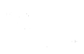 Cc1ccc(Oc2ccc(C(=O)Cn3cccc(C)c3=O)cc2)cc1